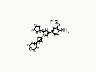 Nc1ncc(-c2cn(C34CC(N5CCOCC5)(C3)C4)c(C3CCCC3)n2)cc1OC(F)(F)F